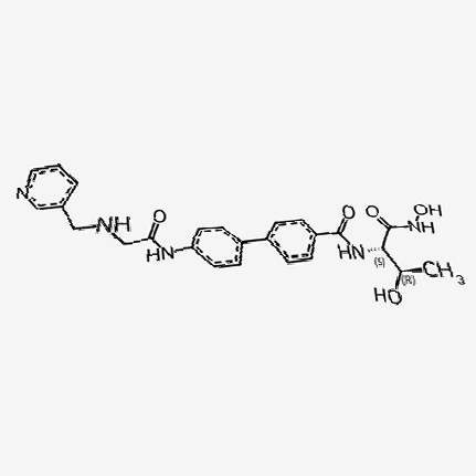 C[C@@H](O)[C@H](NC(=O)c1ccc(-c2ccc(NC(=O)CNCc3cccnc3)cc2)cc1)C(=O)NO